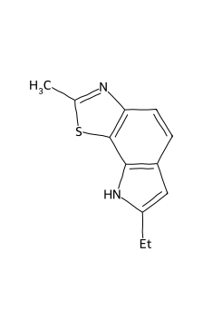 CCc1cc2ccc3nc(C)sc3c2[nH]1